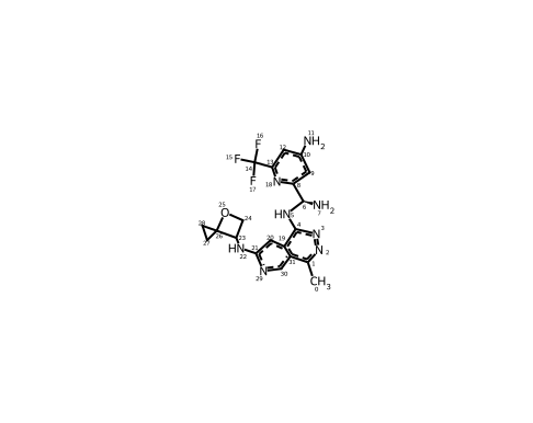 Cc1nnc(N[C@H](N)c2cc(N)cc(C(F)(F)F)n2)c2cc(NC3COC34CC4)ncc12